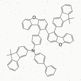 CC1(C)c2ccccc2-c2cc(N(c3ccc(-c4ccccc4)cc3)c3ccc(-c4c(-c5ccc6oc7ccccc7c6c5-c5ccc6c(c5)C(C)(C)c5ccccc5-6)ccc5oc6ccccc6c45)cc3)ccc21